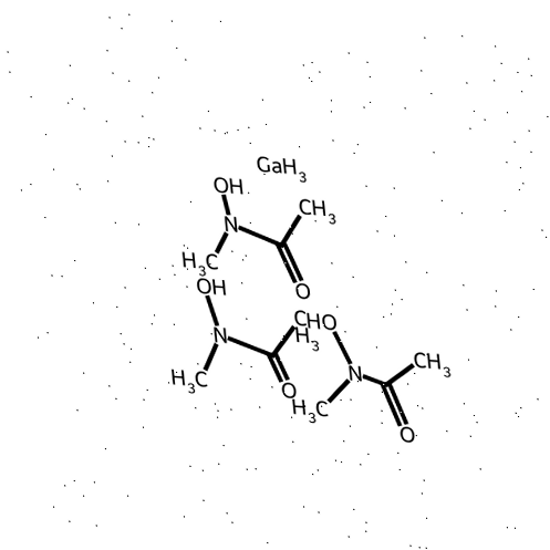 CC(=O)N(C)O.CC(=O)N(C)O.CC(=O)N(C)O.[GaH3]